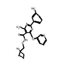 N#Cc1cccc(-c2nc(N)c(C(=O)NOCC3(O)CCC3)c(Oc3cccnc3)n2)c1